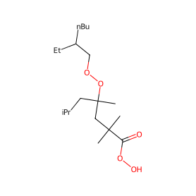 CCCCC(CC)COOC(C)(CC(C)C)CC(C)(C)C(=O)OO